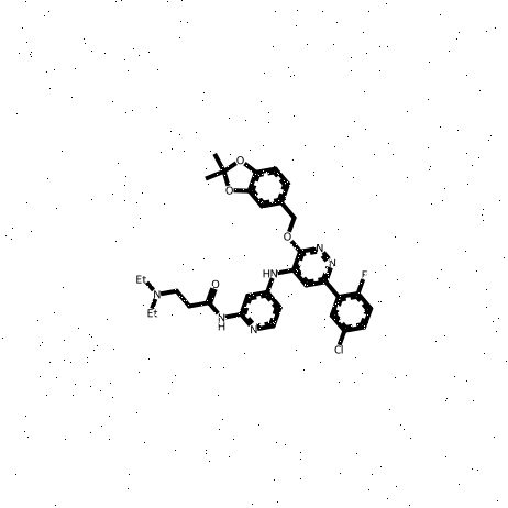 CCN(CC)CCC(=O)Nc1cc(Nc2cc(-c3cc(Cl)ccc3F)nnc2OCc2ccc3c(c2)OC(C)(C)O3)ccn1